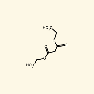 O=C(O)COC(=O)CC(=O)OCC(=O)O